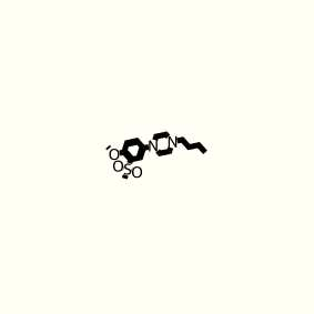 CCCCN1CCN(c2ccc(OC)c(S(C)(=O)=O)c2)CC1